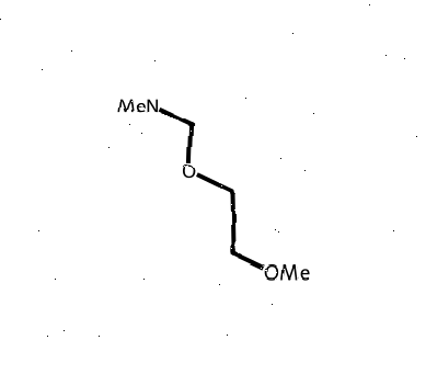 CNCOCCOC